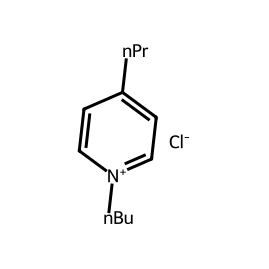 CCCC[n+]1ccc(CCC)cc1.[Cl-]